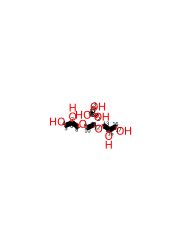 OB(O)O.OCC(O)COCCOCC(O)CO